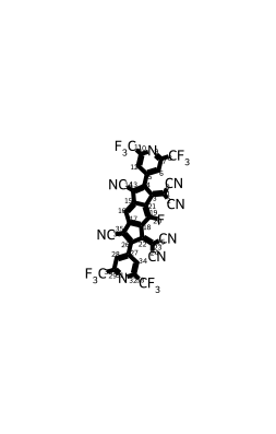 N#CC(C#N)=C1C(c2cc(C(F)(F)F)nc(C(F)(F)F)c2)=C(C#N)c2cc3c(c(F)c21)C(=C(C#N)C#N)C(c1cc(C(F)(F)F)nc(C(F)(F)F)c1)=C3C#N